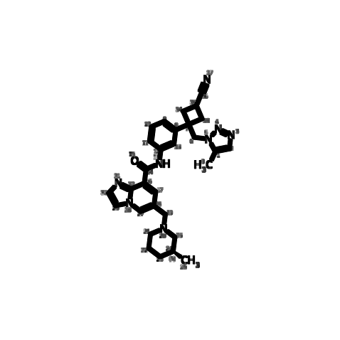 Cc1cnnn1CC1(c2cccc(NC(=O)c3cc(CN4CCC[C@H](C)C4)cn4ccnc34)c2)CC(C#N)C1